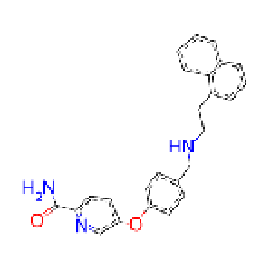 NC(=O)c1ccc(Oc2ccc(CNCCc3cccc4ccccc34)cc2)cn1